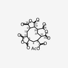 CC(=O)OC(=O)C1CC2C(=O)OC(=O)C2CC2C(=O)OC(=O)C2C2CC1C(=O)OC2=O